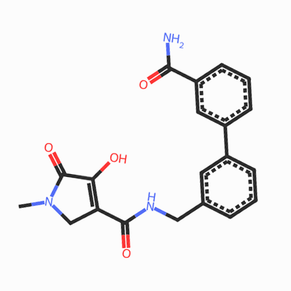 CN1CC(C(=O)NCc2cccc(-c3cccc(C(N)=O)c3)c2)=C(O)C1=O